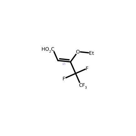 CCO/C(=C\C(=O)O)C(F)(F)C(F)(F)F